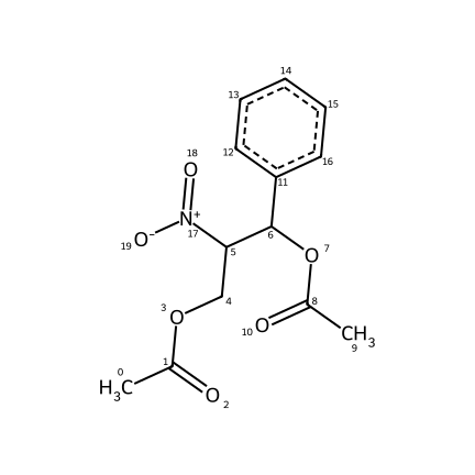 CC(=O)OCC(C(OC(C)=O)c1ccccc1)[N+](=O)[O-]